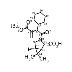 CC(C)(C)OC(=O)N[C@H](C(=O)N1C[C@H]2C([C@H]1C(=O)O)C2(C)C)C1CCCCC1